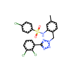 Cc1ccc(Cn2nnc(-c3cccc(Cl)c3Cl)n2)c(NS(=O)(=O)c2ccc(Cl)cc2)c1